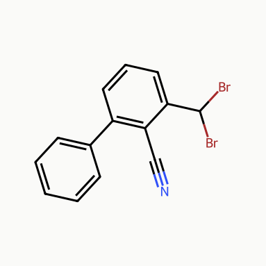 N#Cc1c(-c2ccccc2)cccc1C(Br)Br